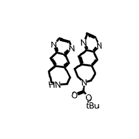 CC(C)(C)OC(=O)N1CCc2cc3nccnc3cc2CC1.c1cnc2cc3c(cc2n1)CCNCC3